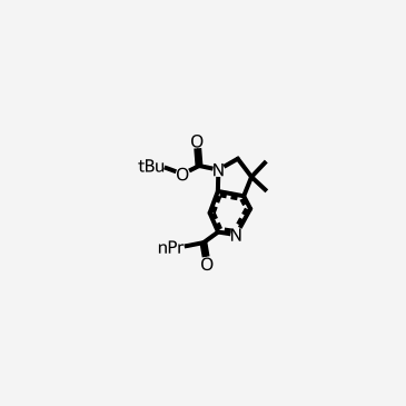 CCCC(=O)c1cc2c(cn1)C(C)(C)CN2C(=O)OC(C)(C)C